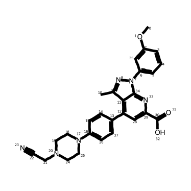 COc1cccc(-n2nc(C)c3c(-c4ccc(N5CCN(CC#N)CC5)cc4)cc(C(=O)O)nc32)c1